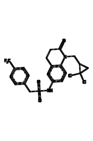 O=C1CCc2cc(NS(=O)(=O)Cc3ccc(C(F)(F)F)cc3)ccc2N1CC1CC1(Cl)Cl